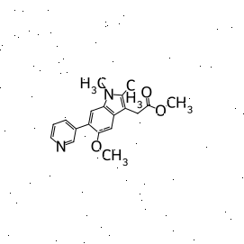 COC(=O)Cc1c(C)n(C)c2cc(-c3cccnc3)c(OC)cc12